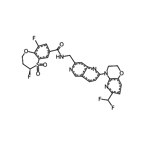 O=C(NCc1cc2nc(N3CCOc4ccc(C(F)F)nc43)ccc2cn1)c1cc(F)c2c(c1)S(=O)(=O)[C@@H](F)CCO2